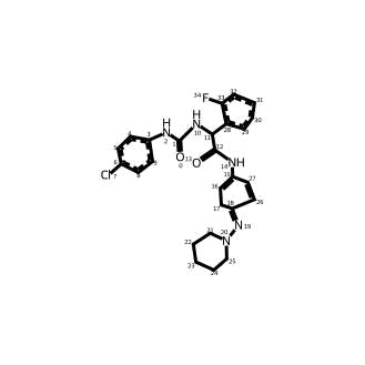 O=C(Nc1ccc(Cl)cc1)NC(C(=O)NC1=CCC(=NN2CCCCC2)C=C1)c1ccccc1F